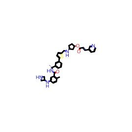 Cc1ccc(NC2CNC2)cc1C(=O)N[C@H](C)c1cccc(-c2ccc(CN[C@H]3CC[C@@H](OC(=O)/C=C/c4cccnc4)C3)s2)c1